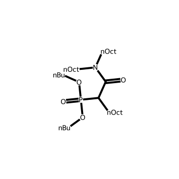 CCCCCCCCC(C(=O)N(CCCCCCCC)CCCCCCCC)P(=O)(OCCCC)OCCCC